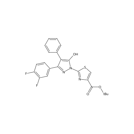 CC(C)(C)OC(=O)c1csc(-n2nc(-c3ccc(F)c(F)c3)c(-c3ccccc3)c2O)n1